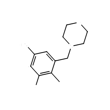 Cc1c(F)cc(N)cc1CN1CCOCC1